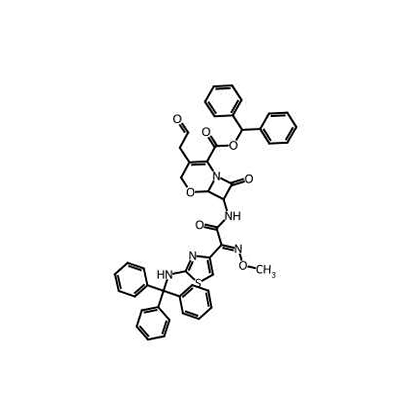 CON=C(C(=O)NC1C(=O)N2C(C(=O)OC(c3ccccc3)c3ccccc3)=C(CC=O)COC12)c1csc(NC(c2ccccc2)(c2ccccc2)c2ccccc2)n1